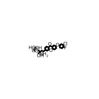 NC(CO)(CCc1ccc2c(=O)c3cc(Oc4ccc(F)c(Cl)c4)ccc3oc2c1)COP(=O)(O)O